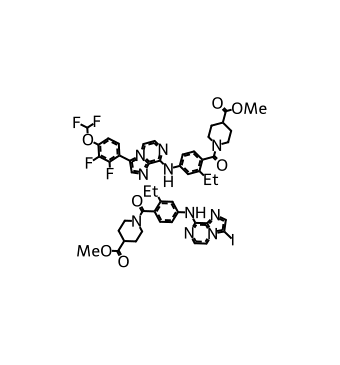 CCc1cc(Nc2nccn3c(-c4ccc(OC(F)F)c(F)c4F)cnc23)ccc1C(=O)N1CCC(C(=O)OC)CC1.CCc1cc(Nc2nccn3c(I)cnc23)ccc1C(=O)N1CCC(C(=O)OC)CC1